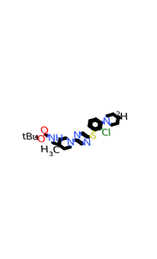 [2H]C1CCN(c2cccc(Sc3cnc(N4CCC(C)(CNC(=O)OC(C)(C)C)CC4)cn3)c2Cl)CC1